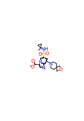 COC(=O)c1cnc2c(N3CCC4(CC3)COC4)cc(S(=O)(=O)NC3(C)CC3)cn12